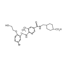 C[C@H](Nc1ncc(C(=O)NCC2CCC(C(=O)O)CC2)cc1Cl)c1cc(Br)ccc1OCCO